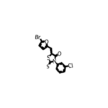 O=C1C(=Cc2ccc(Br)o2)SC(=S)N1c1cccc(Cl)c1